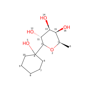 C[C@H]1OC(C2(O)CCCCC2)[C@H](O)[C@@H](O)[C@H]1O